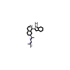 C/C(F)=C\C=C(/C)c1ccc2ccnc(-c3cc4ccccc4[nH]3)c2c1